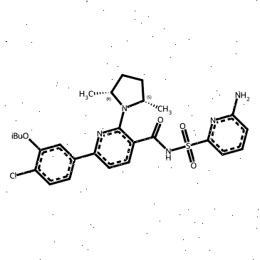 CC(C)COc1cc(-c2ccc(C(=O)NS(=O)(=O)c3cccc(N)n3)c(N3[C@H](C)CC[C@@H]3C)n2)ccc1Cl